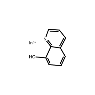 Oc1cccc2cccnc12.[In+3]